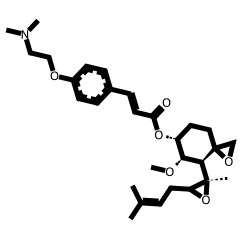 CO[C@@H]1[C@H](OC(=O)/C=C/c2ccc(OCCN(C)C)cc2)CCC2(CO2)[C@H]1[C@@]1(C)OC1CC=C(C)C